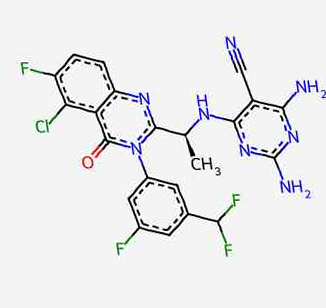 C[C@H](Nc1nc(N)nc(N)c1C#N)c1nc2ccc(F)c(Cl)c2c(=O)n1-c1cc(F)cc(C(F)F)c1